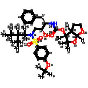 [2H]C([2H])([2H])Oc1ccc(S(=O)(=O)N(C[C@@H](O)[C@H](Cc2ccccc2)NC(=O)O[C@]2([2H])[C@@H]3CCO[C@@H]3OC2([2H])[2H])C([2H])([2H])C([2H])(C([2H])([2H])[2H])C([2H])([2H])[2H])cc1